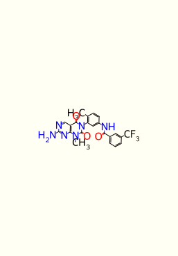 Cc1ccc(NC(=O)c2cccc(C(F)(F)F)c2)cc1-n1c(=O)c2cnc(N)nc2n(C)c1=O